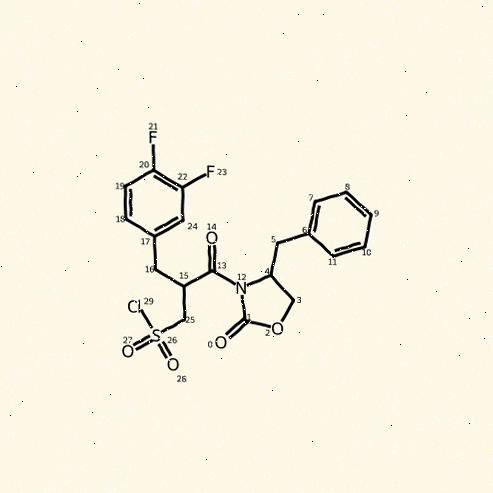 O=C1OCC(Cc2ccccc2)N1C(=O)C(Cc1ccc(F)c(F)c1)CS(=O)(=O)Cl